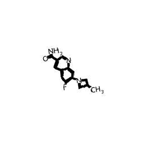 CC1CN(c2cc3ncc(C(N)=O)cc3cc2F)C1